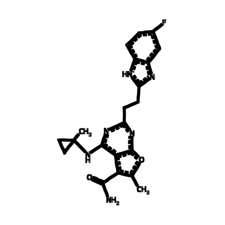 Cc1oc2nc(CCc3nc4cc(F)ccc4[nH]3)nc(NC3(C)CC3)c2c1C(N)=O